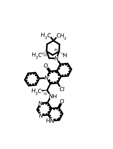 C[C@H](Nc1ncnc2[nH]ccc(=O)c12)c1c(Cl)c2cccc(N3C[C@]4(C)C[C@H]3CC(C)(C)C4)c2c(=O)n1-c1ccccc1